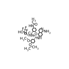 CCOc1cc(C(Nc2ccc3c(N)nccc3c2)C(=O)NC(C)c2cccc(NC(C)=O)c2)ccc1OC(C)C.O=C(O)C(F)(F)F